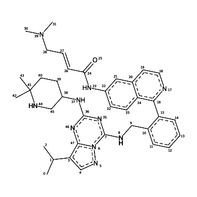 CC(C)c1cnn2c(NCc3ccccc3-c3nccc4cc(NC(=O)/C=C/CN(C)C)ccc34)nc(NC3CCC(C)(C)NC3)nc12